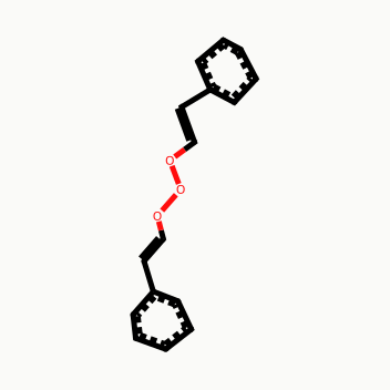 C(=C\c1ccccc1)/OOO/C=C/c1ccccc1